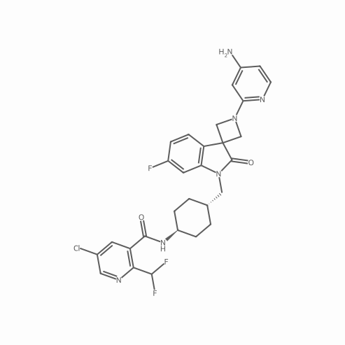 Nc1ccnc(N2CC3(C2)C(=O)N(C[C@H]2CC[C@H](NC(=O)c4cc(Cl)cnc4C(F)F)CC2)c2cc(F)ccc23)c1